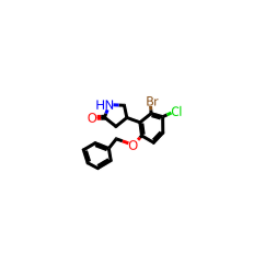 O=C1CC(c2c(OCc3ccccc3)ccc(Cl)c2Br)CN1